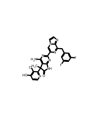 CC1(c2nccc(O)c2Cl)C(=O)Nc2nc(-c3cn4ccnc4c(Cc4cc(F)cc(F)c4)n3)nc(N)c21